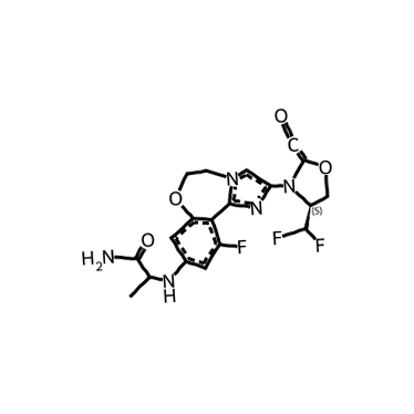 CC(Nc1cc(F)c2c(c1)OCCn1cc(N3C(=C=O)OC[C@H]3C(F)F)nc1-2)C(N)=O